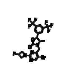 CC1C(c2cc(C(F)(F)F)cc(C(F)(F)F)c2)OC(=O)N1Cc1nc(N2CC(F)C2)ncc1Br